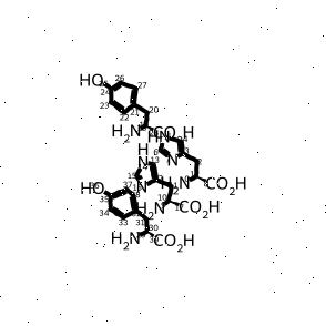 N[C@@H](Cc1c[nH]cn1)C(=O)O.N[C@@H](Cc1c[nH]cn1)C(=O)O.N[C@@H](Cc1ccc(O)cc1)C(=O)O.N[C@@H](Cc1ccc(O)cc1)C(=O)O